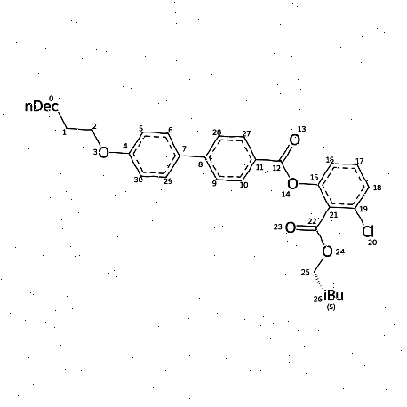 CCCCCCCCCCCCOc1ccc(-c2ccc(C(=O)Oc3cccc(Cl)c3C(=O)OC[C@@H](C)CC)cc2)cc1